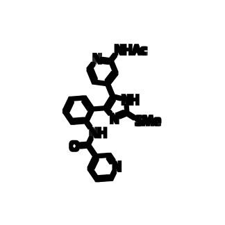 CSc1nc(-c2ccccc2NC(=O)c2cccnc2)c(-c2ccnc(NC(C)=O)c2)[nH]1